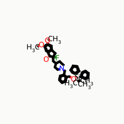 COc1cc2c(cc1OC)C(=O)C(F)(CC1CCN(Cc3ccccc3CO[Si](c3ccccc3)(c3ccccc3)C(C)(C)C)CC1)C2